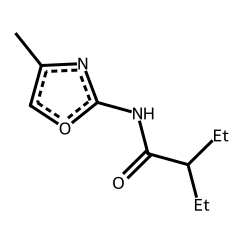 CCC(CC)C(=O)Nc1nc(C)co1